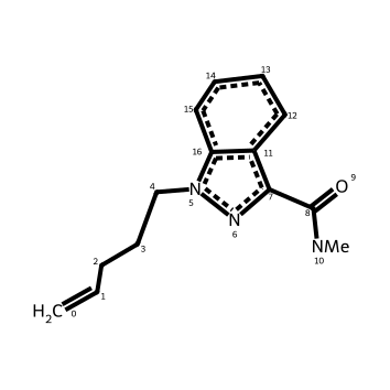 C=CCCCn1nc(C(=O)NC)c2ccccc21